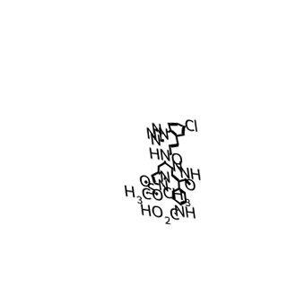 Cn1nc(CC(NC(=O)C=Cc2cc(Cl)ccc2-n2cnnn2)c2cc(-c3ccc(NC(=O)O)cc3)c(=O)[nH]n2)cc1S(C)(=O)=O